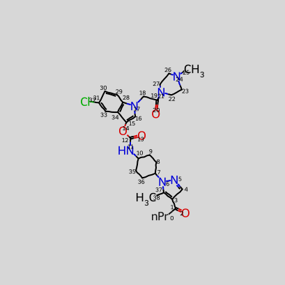 CCCC(=O)c1cnn(C2CCC(NC(=O)Oc3cn(CC(=O)N4CCN(C)CC4)c4ccc(Cl)cc34)CC2)c1C